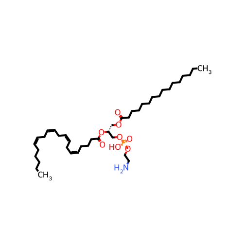 CCCCC/C=C\C/C=C\C/C=C\C/C=C\CCCC(=O)O[C@H](COC(=O)CCCCCCCCCCCCCCC)COP(=O)(O)OCCN